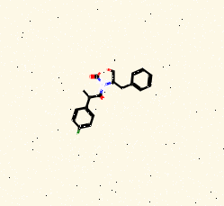 CC(C(=O)N1C(=O)OCC1Cc1ccccc1)c1ccc(Br)cc1